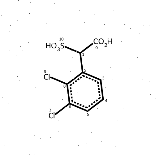 O=C(O)C(c1cccc(Cl)c1Cl)S(=O)(=O)O